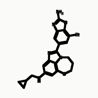 CCc1cc(-c2nc3cc(NCC4CC4)cc4c3n2CCCO4)cc2nc(N)oc12